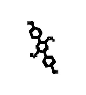 Cc1nc(-c2ccc(O)cc2)c(C)nc1-c1ccc(O)cc1